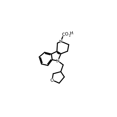 O=C(O)N1CCc2c(c3ccccc3n2CC2CCOC2)C1